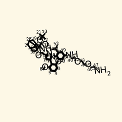 COc1cccc(OC)c1-c1cc(C(=O)NC2(C(=O)OC(C)(C)C)C3CC4CC(C3)CC2C4)nn1-c1ccc(NCCOCCOCCN)cc1C(C)C